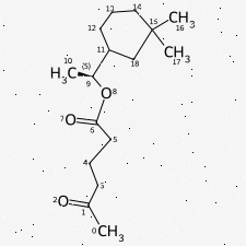 CC(=O)CCCC(=O)O[C@@H](C)C1CCCC(C)(C)C1